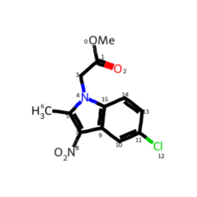 COC(=O)Cn1c(C)c([N+](=O)[O-])c2cc(Cl)ccc21